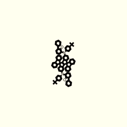 CC(C)(C)c1ccc(N(c2ccc3c(c2)C2=C(c4cc(N(c5ccc(C(C)(C)C)cc5)c5cccc6c5oc5ccccc56)ccc4C24c2ccccc2-c2ccccc24)C32c3ccccc3-c3ccccc32)c2cccc3c2oc2ccccc23)cc1